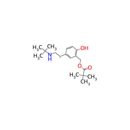 CC(C)(C)NC[CH]c1ccc(O)c(COC(=O)C(C)(C)C)c1